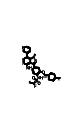 C[C@H](Oc1cc(-c2nn(C)c3c(-c4cccnc4)cnc(N)c23)ccc1NS(=O)(=O)C(F)F)c1ccc(F)cc1